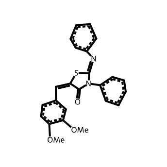 COc1ccc(C=C2SC(=Nc3ccccc3)N(c3ccccc3)C2=O)cc1OC